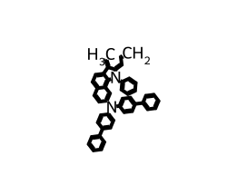 C=C/C=c1\c(=C/C)c2ccc3ccc(N(c4ccc(-c5ccccc5)cc4)c4ccc(-c5ccccc5)cc4)cc3c2n1-c1ccccc1